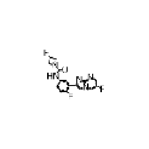 O=C(Nc1ccc(F)c(-c2cn3cc(F)cnc3n2)c1)N1CC(F)C1